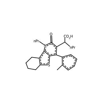 CCCC(C(=O)O)c1c(-c2ccccc2C)c2sc3c(c2n(CCC)c1=O)CCCC3